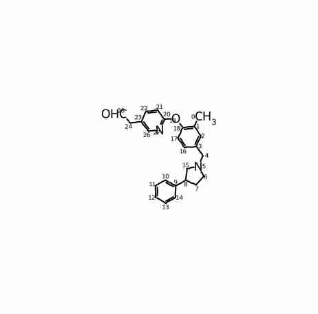 Cc1cc(CN2CCC(c3ccccc3)C2)ccc1Oc1ccc(CC=O)cn1